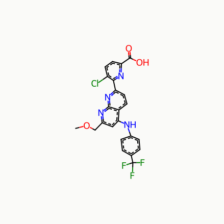 COCc1cc(Nc2ccc(C(F)(F)F)cc2)c2ccc(-c3nc(C(=O)O)ccc3Cl)nc2n1